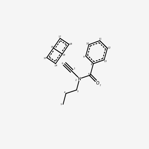 C#CN(CCC)C(=O)c1ccccc1.c1cc2ccc1-2